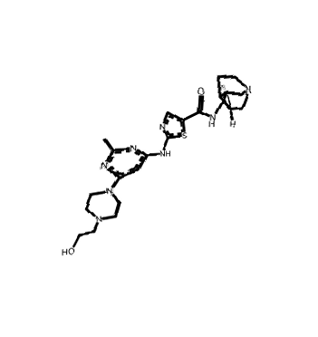 Cc1nc(Nc2ncc(C(=O)N[C@H]3CN4CCC3CC4)s2)cc(N2CCN(CCO)CC2)n1